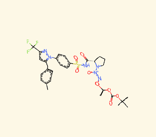 Cc1ccc(-c2cc(C(F)(F)F)nn2-c2ccc(S(=O)(=O)NC(=O)[C@@H]3CCCN3/[N+]([O-])=N/OC(C)OC(=O)OC(C)(C)C)cc2)cc1